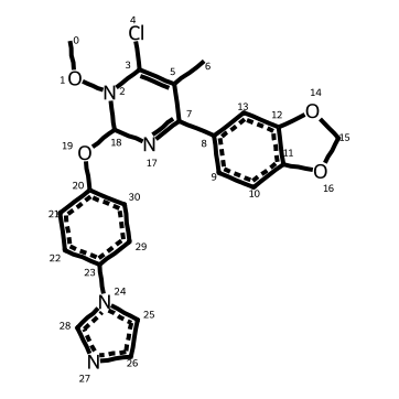 CON1C(Cl)=C(C)C(c2ccc3c(c2)OCO3)=NC1Oc1ccc(-n2ccnc2)cc1